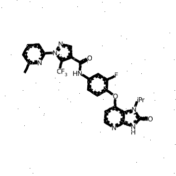 Cc1cccc(-n2ncc(C(=O)Nc3ccc(Oc4ccnc5[nH]c(=O)n(C(C)C)c45)c(F)c3)c2C(F)(F)F)n1